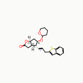 O=C1C[C@@H]2[C@@H](/C=C/Cc3cc4ccccc4s3)[C@H](OC3CCCCO3)C[C@@H]2O1